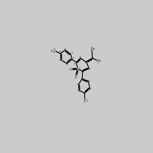 N#CC(C#N)=C1C=C(c2ccc(C(F)(F)F)cc2)S(=O)(=O)C(c2ccc(C(F)(F)F)cc2)=C1